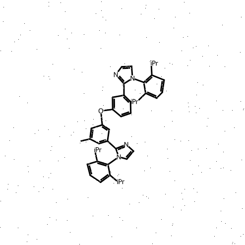 Cc1cc(Oc2cccc(-c3nccn3-c3c(C(C)C)cccc3C(C)C)c2)cc(-c2nccn2-c2c(C(C)C)cccc2C(C)C)c1